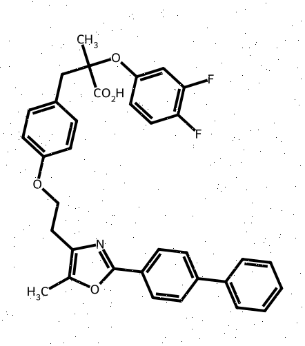 Cc1oc(-c2ccc(-c3ccccc3)cc2)nc1CCOc1ccc(CC(C)(Oc2ccc(F)c(F)c2)C(=O)O)cc1